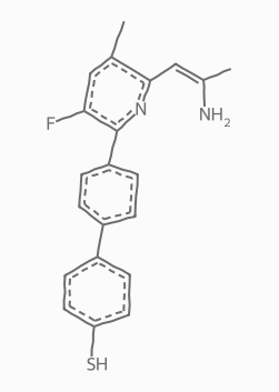 C/C(N)=C/c1nc(-c2ccc(-c3ccc(S)cc3)cc2)c(F)cc1C